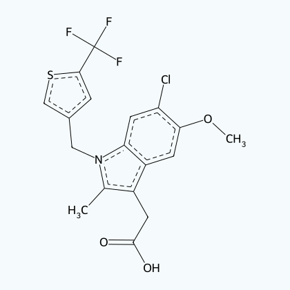 COc1cc2c(CC(=O)O)c(C)n(Cc3csc(C(F)(F)F)c3)c2cc1Cl